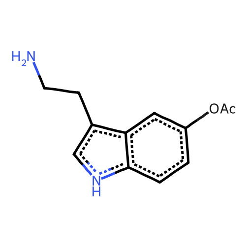 CC(=O)Oc1ccc2[nH]cc(CCN)c2c1